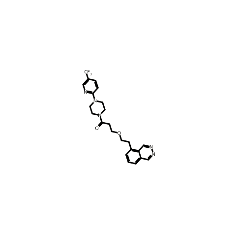 O=C(CCOCCc1cccc2cnncc12)N1CCN(c2ccc(C(F)(F)F)cn2)CC1